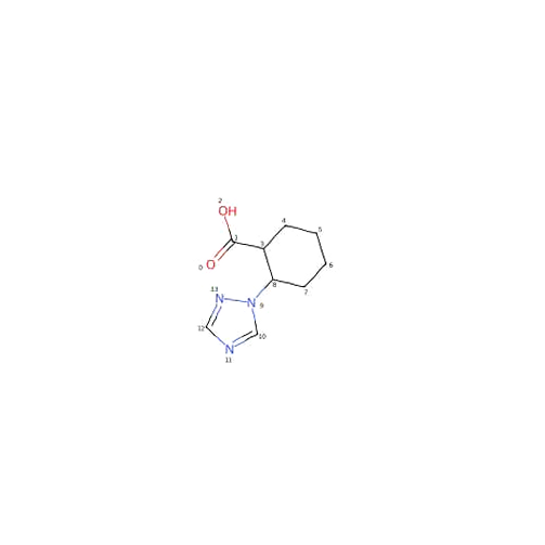 O=C(O)C1CCCCC1n1cncn1